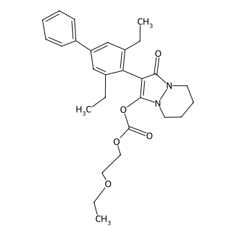 CCOCCOC(=O)Oc1c(-c2c(CC)cc(-c3ccccc3)cc2CC)c(=O)n2n1CCCC2